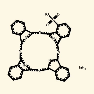 O=S(=O)(O)c1cccc2c3nc4nc(nc5[nH]c(nc6nc(nc([nH]3)c12)-c1ccccc1-6)c1ccccc51)-c1ccccc1-4.[InH3]